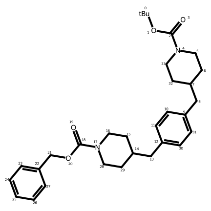 CC(C)(C)OC(=O)N1CCC(Cc2ccc(CC3CCN(C(=O)OCc4ccccc4)CC3)cc2)CC1